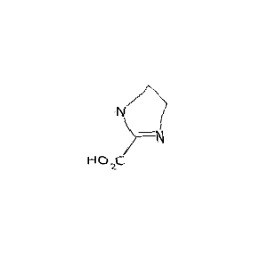 O=C(O)C1=NCC[N]1